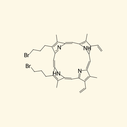 C=CC1=C(C)c2cc3[nH]c(cc4nc(cc5[nH]c(cc1n2)c(C)c5CCCBr)C(CCCBr)=C4C)c(C)c3C=C